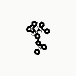 c1ccc(-c2nc(N3c4ccc(-c5ccc6c(c5)c5ccccc5n6-c5ccccc5)cc4Oc4c3c3c5ccccc5c5cccc4n53)nc3ccccc23)cc1